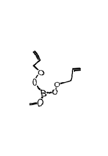 C=CCOOB(OC)OOCC=C